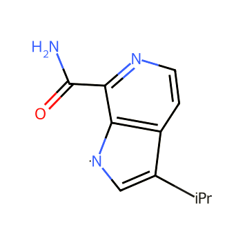 CC(C)C1=C[N]c2c1ccnc2C(N)=O